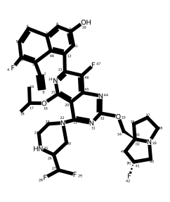 C#Cc1c(F)ccc2cc(O)cc(-c3nc(OC(C)C)c4c(N5CCNC(C(F)F)C5)nc(OC[C@@]56CCCN5C[C@H](F)C6)nc4c3F)c12